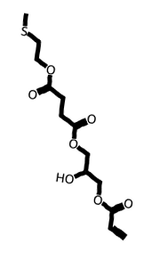 C=CC(=O)OCC(O)COC(=O)CCC(=O)OCCSC